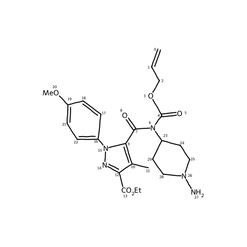 C=CCOC(=O)N(C(=O)c1c(C)c(C(=O)OCC)nn1-c1ccc(OC)cc1)C1CCN(N)CC1